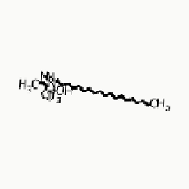 CCCCCCCCCCCCCCCCCCC[N+]1(C(=O)O)N=NC(C)=C1C